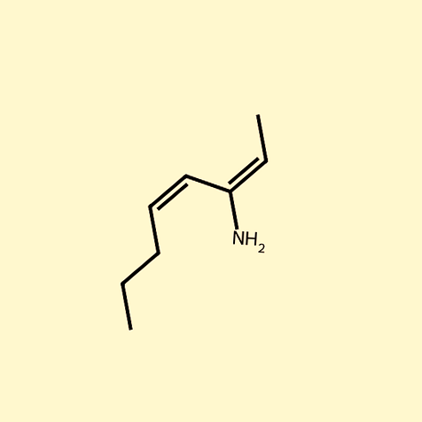 C/C=C(N)\C=C/CCC